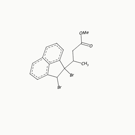 COC(=O)CC(C)C1(Br)c2cccc3cccc(c23)C1Br